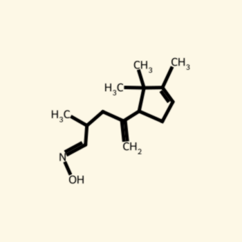 C=C(CC(C)C=NO)C1CC=C(C)C1(C)C